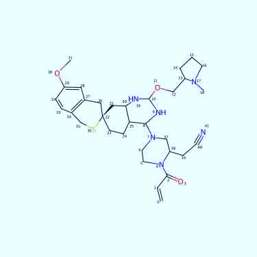 C=CC(=O)N1CCN(C2NC(OCC3CCCN3C)NC3C[C@]4(CCC32)Cc2cc(OC)ccc2CS4)CC1CC#N